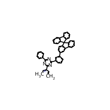 C=C/C(=C\C)c1nc(-c2ccccc2)nc(-c2cccc(-c3ccc4c(c3)-c3ccccc3C43c4ccccc4-c4ccccc43)c2)n1